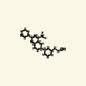 CN(C)c1nc(-c2cccnc2)nc2ccc(-c3cccc(CCO)c3)cc12